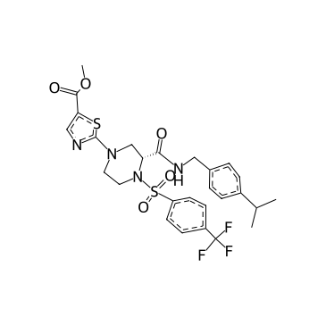 COC(=O)c1cnc(N2CCN(S(=O)(=O)c3ccc(C(F)(F)F)cc3)[C@@H](C(=O)NCc3ccc(C(C)C)cc3)C2)s1